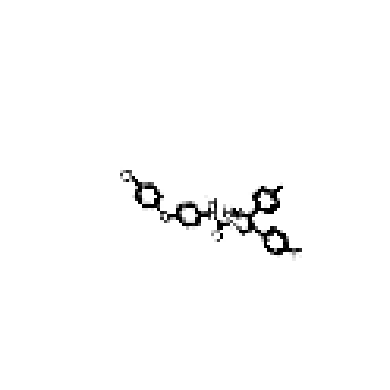 Cc1ccc(C2=C(c3ccc(F)cc3)CN(C(=O)Nc3ccc(Oc4ccc(Cl)cc4)cc3)N2)cc1